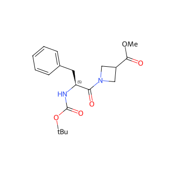 COC(=O)C1CN(C(=O)[C@H](Cc2ccccc2)NC(=O)OC(C)(C)C)C1